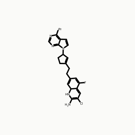 CC(C)c1ncnc2c1ccn2C1C=C(CCC2=CC3NC(N)=C(Cl)C=C3C(F)=C2)CC1